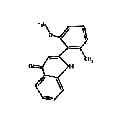 COc1cccc(C)c1-c1cc(=O)c2ccccc2[nH]1